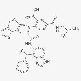 CC(C)CNC(=O)c1ccc(-c2cc3c(cc2C(=O)Nc2ccc4[nH]ccc4c2C(C)c2ccccc2)-c2sccc2CO3)c(C(=O)O)c1